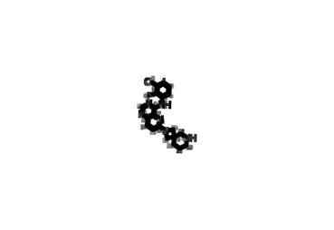 Fc1c(Cl)cccc1Nc1ncnc2ccc(N3CC4(CCCNC4)C3)nc12